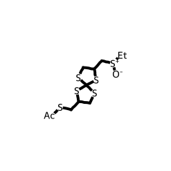 CC[S+]([O-])CC1CSC2(SCC(CSC(C)=O)S2)S1